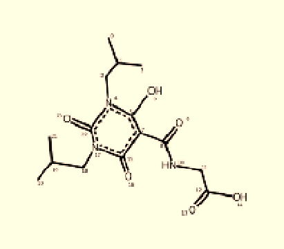 CC(C)Cn1c(O)c(C(=O)NCC(=O)O)c(=O)n(CC(C)C)c1=O